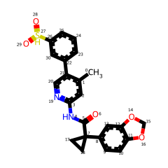 Cc1cc(NC(=O)C2(c3ccc4c(c3)OCO4)CC2)ncc1-c1cccc([SH](=O)=O)c1